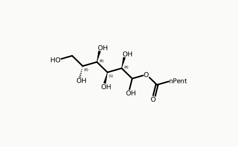 CCCCCC(=O)OC(O)[C@H](O)[C@@H](O)[C@H](O)[C@H](O)CO